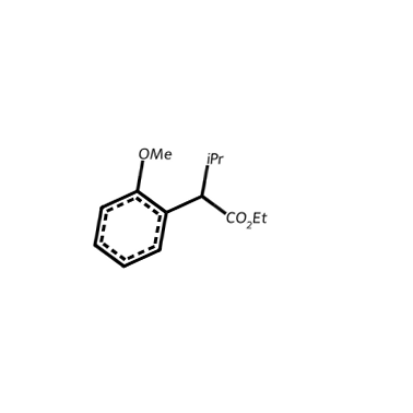 CCOC(=O)C(c1ccccc1OC)C(C)C